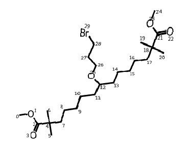 COC(=O)C(C)(C)CCCCCC(CCCCCC(C)(C)C(=O)OC)OCCCBr